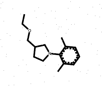 CCOCC1CCN(c2c(C)cccc2C)C1